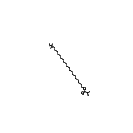 C=C(C)C(=O)OCCCCCCCCCCCCCCCCCCCC[Si](C)(C)I